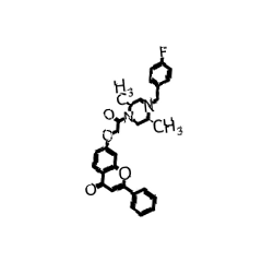 C[C@@H]1CN(C(=O)COc2ccc3c(=O)cc(-c4ccccc4)oc3c2)[C@@H](C)CN1Cc1ccc(F)cc1